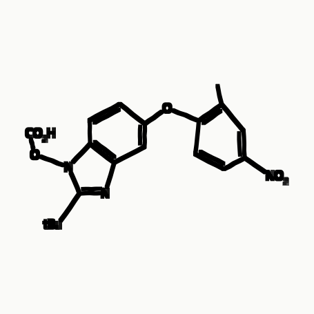 Cc1cc([N+](=O)[O-])ccc1Oc1ccc2c(c1)nc(C(C)(C)C)n2OC(=O)O